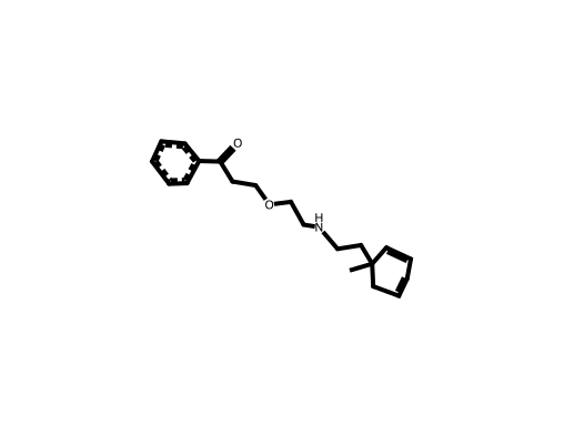 CC1(CCNCCOCCC(=O)c2ccccc2)C=CC=CC1